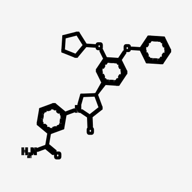 NC(=O)c1cccc(N2C[C@@H](c3ccc(Oc4ccccc4)c(OC4CCCC4)c3)CC2=O)c1